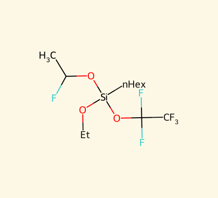 CCCCCC[Si](OCC)(OC(C)F)OC(F)(F)C(F)(F)F